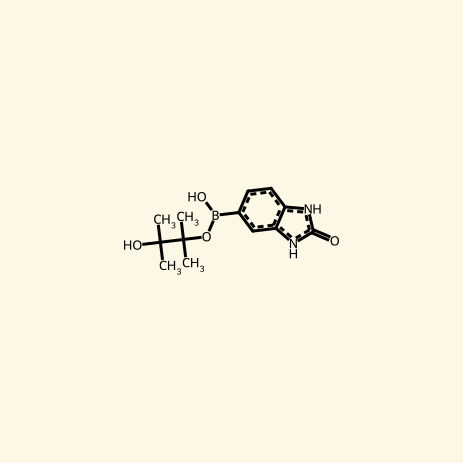 CC(C)(O)C(C)(C)OB(O)c1ccc2[nH]c(=O)[nH]c2c1